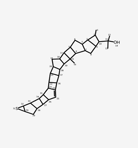 CC1C2C3CC4C(C3CC2C1C(C)(C)O)C1(C)C4C2CC3C4C5C6C(=CC7C8C9CC%10SC%10C9C8C76)C5C4C3C21